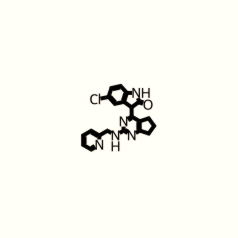 O=C1Nc2ccc(Cl)cc2C1c1nc(NCc2ccccn2)nc2c1CCC2